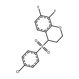 O=S(=O)(c1ccc(Cl)cc1)C1CCOc2c1ccc(F)c2F